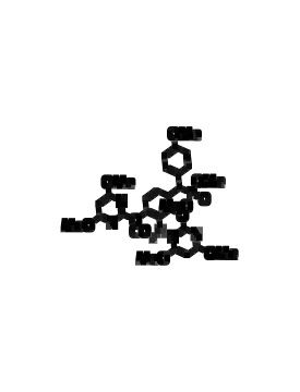 COc1ccc(C(c2ccc(Oc3nc(OC)cc(OC)n3)c(C(=O)O)c2Oc2nc(OC)cc(OC)n2)P(=O)(OC)OC)cc1